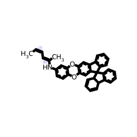 C/C=C\C=C(/C)Nc1ccc2c(c1)Oc1cc3c(cc1O2)C1(c2ccccc2-3)c2ccccc2C2C=CC=CC21